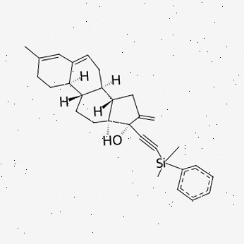 C=C1C[C@H]2[C@@H]3CC=C4C=C(C)CC[C@@H]4[C@H]3CC[C@]2(C)[C@]1(O)C#C[Si](C)(C)c1ccccc1